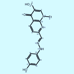 CCn1cc(C(=O)O)c(=O)c2ccc(C=NNc3ccc(O)cc3)nc21